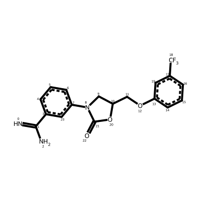 N=C(N)c1cccc(N2CC(COc3cccc(C(F)(F)F)c3)OC2=O)c1